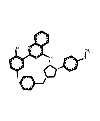 COc1ccc([C@H]2CN(Cc3ccccc3)C[C@@H]2Nc2nc(-c3cc(F)ccc3O)nc3ccccc23)cc1